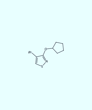 CC(C)c1csnc1OC1CCCC1